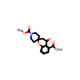 COC(=O)c1cccc2c1C(=O)CC1(CCN(C(=O)OC(C)(C)C)CC1)O2